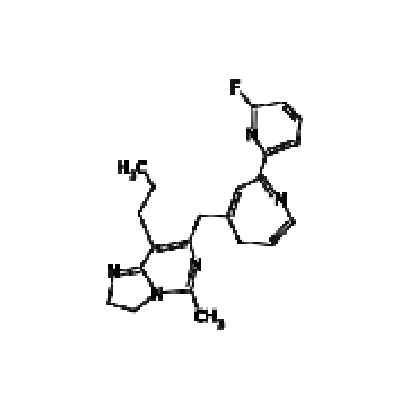 CCCC1=C(CC2=CC(c3cccc(F)n3)=NC=CC2)N=C(C)N2CCN=C12